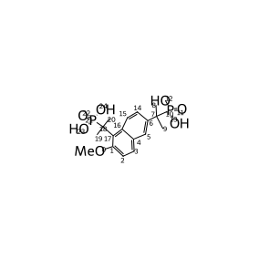 COc1ccc2cc(C(C)(C)P(=O)(O)O)ccc2c1C(C)(C)P(=O)(O)O